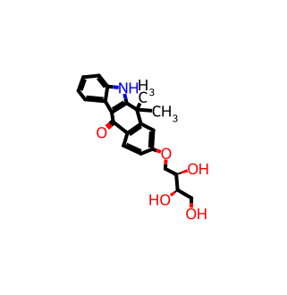 CC1(C)c2cc(OC[C@@H](O)[C@H](O)CO)ccc2C(=O)c2c1[nH]c1ccccc21